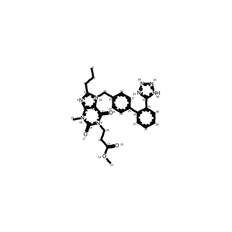 CCCc1nc2c(c(=O)n(CCC(=O)OC)c(=O)n2C)n1Cc1ccc(-c2ccccc2-c2nnn[nH]2)cc1